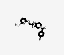 Cc1cccc(OCc2nc3c(o2)CN(C(=O)c2ccc(F)cc2)CC3)n1